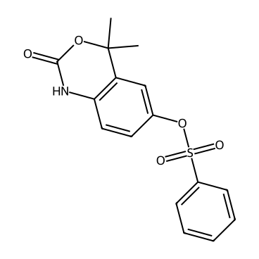 CC1(C)OC(=O)Nc2ccc(OS(=O)(=O)c3ccccc3)cc21